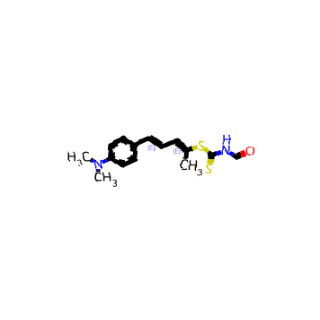 C/C(=C\C=C\c1ccc(N(C)C)cc1)SC(=S)NC=O